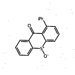 CC(C)c1cccc2c1c(=O)c1ccccc1[s+]2[O-]